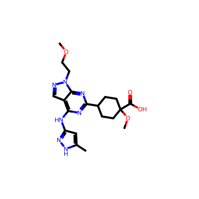 COCCn1ncc2c(Nc3cc(C)[nH]n3)nc(C3CCC(OC)(C(=O)O)CC3)nc21